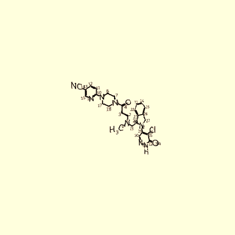 CN(CCC(=O)N1CCN(c2ccc(C#N)cn2)CC1)C[C@H]1c2ccccc2CN1c1cn[nH]c(=O)c1Cl